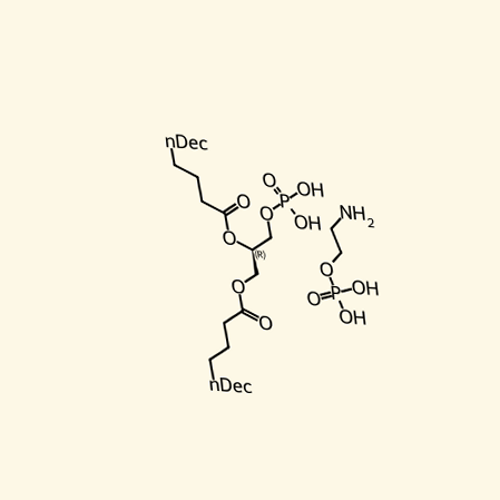 CCCCCCCCCCCCCC(=O)OC[C@H](COP(=O)(O)O)OC(=O)CCCCCCCCCCCCC.NCCOP(=O)(O)O